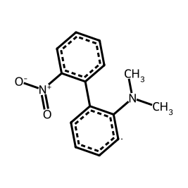 CN(C)c1[c]cccc1-c1ccccc1[N+](=O)[O-]